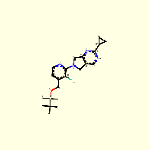 CC(C)(C)[Si](C)(C)OCc1ccnc(N2Cc3cnc(C4CC4)nc3C2)c1F